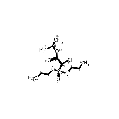 CCCOP(=O)(OCCC)C(Cl)C(=O)OC(C)C